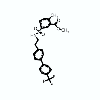 COC(=O)c1cc(S(=O)(=O)NCCc2ccc(-c3ccc(C(F)(F)F)cc3)cc2)ccc1C